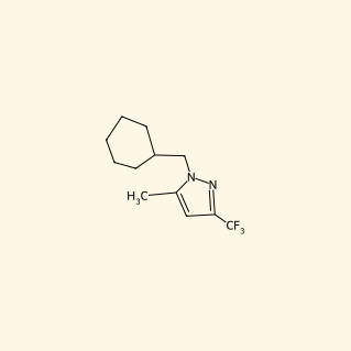 Cc1cc(C(F)(F)F)nn1CC1CCCCC1